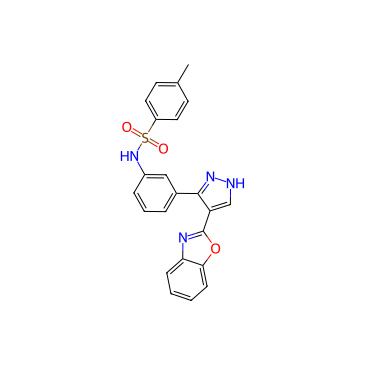 Cc1ccc(S(=O)(=O)Nc2cccc(-c3n[nH]cc3-c3nc4ccccc4o3)c2)cc1